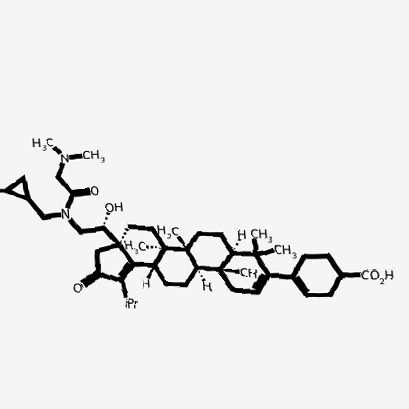 CC(C)C1=C2[C@H]3CC[C@@H]4[C@@]5(C)CC=C(C6=CCC(C(=O)O)CC6)C(C)(C)[C@@H]5CC[C@@]4(C)[C@]3(C)CC[C@@]2([C@@H](O)CN(CC2CC2)C(=O)CN(C)C)CC1=O